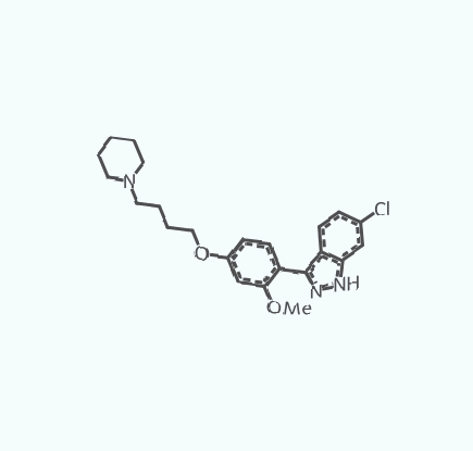 COc1cc(OCCCCN2CCCCC2)ccc1-c1n[nH]c2cc(Cl)ccc12